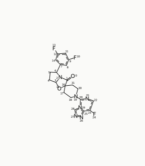 O=C1N2C(CCC2c2cc(F)cc(F)c2)OC12CCN(c1ncc(F)c3nncn13)CC2